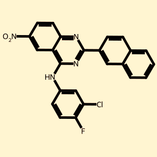 O=[N+]([O-])c1ccc2nc(-c3ccc4ccccc4c3)nc(Nc3ccc(F)c(Cl)c3)c2c1